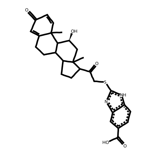 CC12C=CC(=O)C=C1CCC1C2[C@@H](O)CC2(C)C(C(=O)CSc3nc4cc(C(=O)O)ccc4[nH]3)CCC12